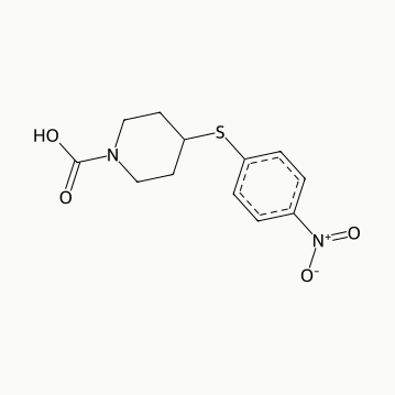 O=C(O)N1CCC(Sc2ccc([N+](=O)[O-])cc2)CC1